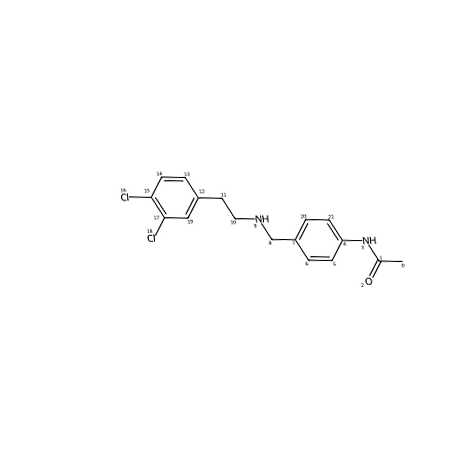 CC(=O)Nc1ccc(CNCCc2ccc(Cl)c(Cl)c2)cc1